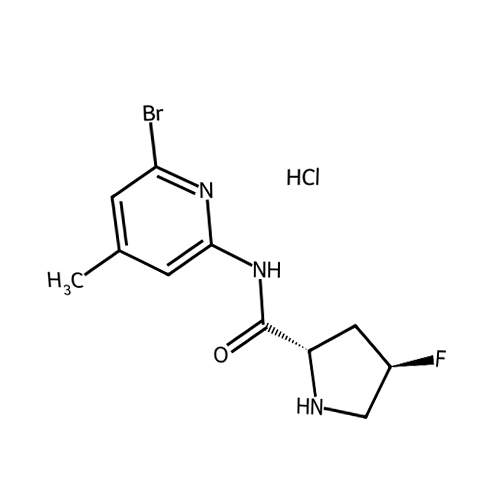 Cc1cc(Br)nc(NC(=O)[C@@H]2C[C@@H](F)CN2)c1.Cl